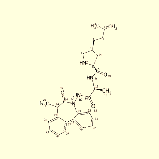 CC(C)CC[C@@H]1CN[C@H](C(=O)N[C@@H](C)C(=O)NN2C(=O)C(C)c3ccccc3-c3ccccc32)C1